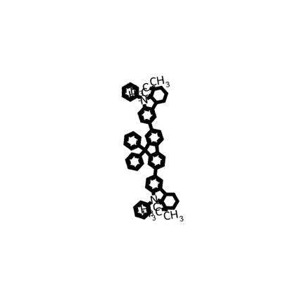 CC1(C)CCCC2c3cc(-c4ccc5c(c4)C(c4ccccc4)(c4ccccc4)c4cc(-c6ccc7c(c6)C6CCCC(C)(C)C6(C)N7c6ccccc6)ccc4-5)ccc3N(c3ccccc3)C21C